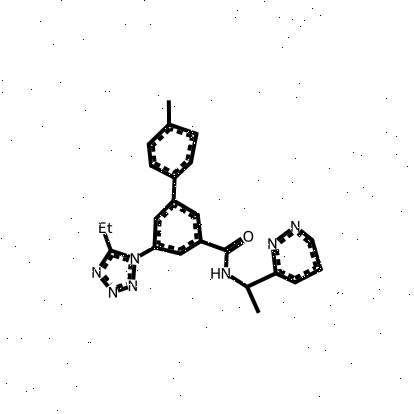 CCc1nnnn1-c1cc(C(=O)NC(C)c2cccnn2)cc(-c2ccc(C)cc2)c1